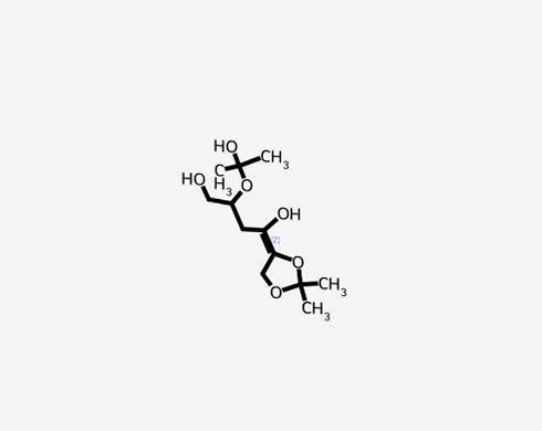 CC(C)(O)OC(CO)C/C(O)=C1\COC(C)(C)O1